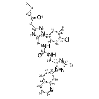 CCOC(=O)Cc1nc(CNC(=O)NCc2nc(C)nn2-c2ccc3cccnc3c2)n(-c2ccc(Cl)c(F)c2)n1